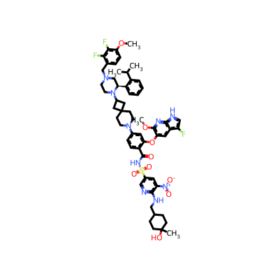 COc1ccc(CN2CCN(C3CC4(CCN(c5ccc(C(=O)NS(=O)(=O)c6cnc(NCC7CCC(C)(O)CC7)c([N+](=O)[O-])c6)c(Oc6cc7c(F)c[nH]c7nc6OC)c5)CC4)C3)[C@H](c3ccccc3C(C)C)C2)c(F)c1F